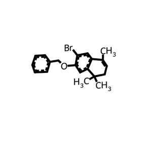 CC1=CCC(C)(C)c2cc(OCc3ccccc3)c(Br)cc21